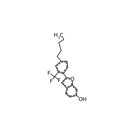 CCCCCc1ccc(-c2cc3ccc(O)cc3o2)c(C(F)(F)F)c1